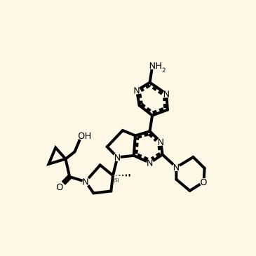 C[C@]1(N2CCc3c(-c4cnc(N)nc4)nc(N4CCOCC4)nc32)CCN(C(=O)C2(CO)CC2)C1